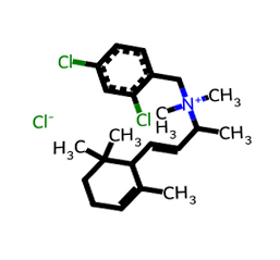 CC1=CCCC(C)(C)C1C=CC(C)[N+](C)(C)Cc1ccc(Cl)cc1Cl.[Cl-]